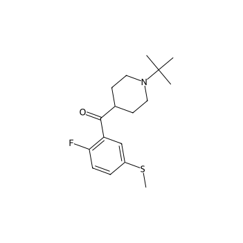 CSc1ccc(F)c(C(=O)C2CCN(C(C)(C)C)CC2)c1